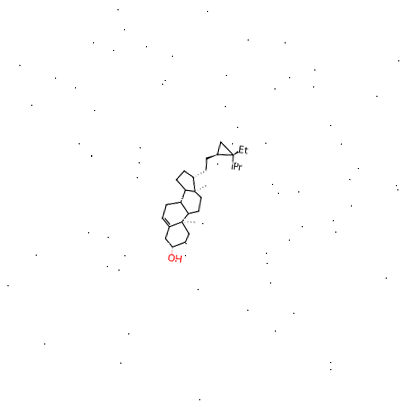 CC[C@]1(C(C)C)C[C@@H]1CC[C@H]1CCC2C3CC=C4C[C@@H](O)CC[C@]4(C)C3CC[C@@]21C